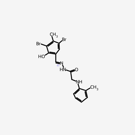 Cc1ccccc1NCC(=O)N/N=C/c1cc(Br)c(C)c(Br)c1O